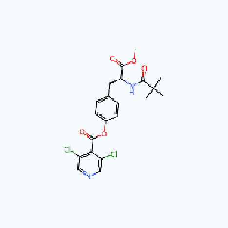 COC(=O)[C@H](Cc1ccc(OC(=O)c2c(Cl)cncc2Cl)cc1)NC(=O)C(C)(C)C